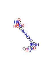 NC(=O)c1c(-c2ccc(Oc3ccccc3)cc2)nn2c1NCC[C@H]2C1CCN(C2CCN(C3CN(C4CN(c5ccc6c(c5)C(=O)N(C5CCC(=O)NC5=O)C6O)C4)C3)CC2)CC1